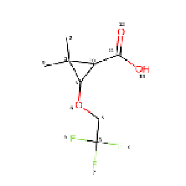 CC1(C)C(OCC(F)(F)F)C1C(=O)O